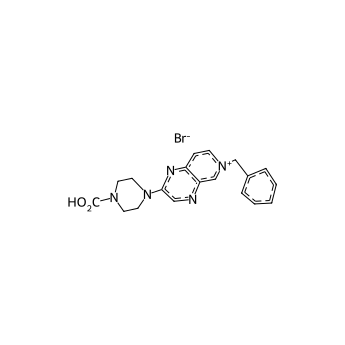 O=C(O)N1CCN(c2cnc3c[n+](Cc4ccccc4)ccc3n2)CC1.[Br-]